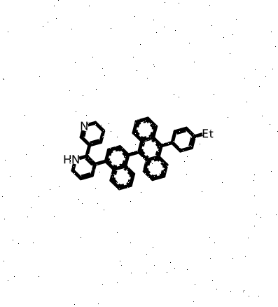 CCC1=CCC(c2c3ccccc3c(-c3ccc(C4=C(C5=CCCN=C5)NCC=C4)c4ccccc34)c3ccccc23)C=C1